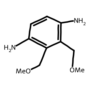 COCc1c(N)ccc(N)c1COC